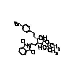 CC1(C)O[C@@H]2O[C@@H](C=Cc3ccc(Br)cc3)[C@H](CCN3C(=O)c4ccccc4C3=O)[C@@H]2O1